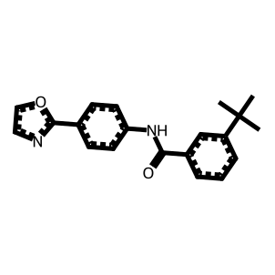 CC(C)(C)c1cccc(C(=O)Nc2ccc(-c3ncco3)cc2)c1